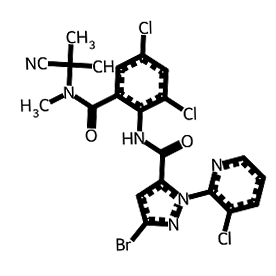 CN(C(=O)c1cc(Cl)cc(Cl)c1NC(=O)c1cc(Br)nn1-c1ncccc1Cl)C(C)(C)C#N